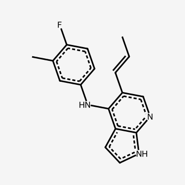 C/C=C/c1cnc2[nH]ccc2c1Nc1ccc(F)c(C)c1